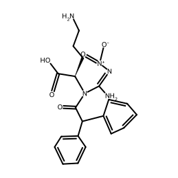 NCCC[C@H](C(=O)O)N(C(=O)C(c1ccccc1)c1ccccc1)/C(N)=N\[N+](=O)[O-]